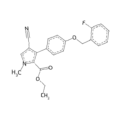 CCOC(=O)c1c(-c2ccc(OCc3ccccc3F)cc2)c(C#N)cn1C